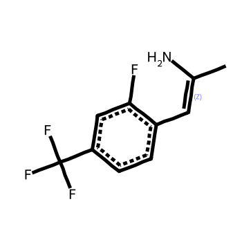 C/C(N)=C/c1ccc(C(F)(F)F)cc1F